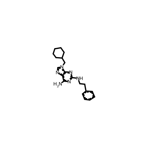 Nc1nc(NCCc2ccccc2)nc2c1ncn2CC1CCCCC1